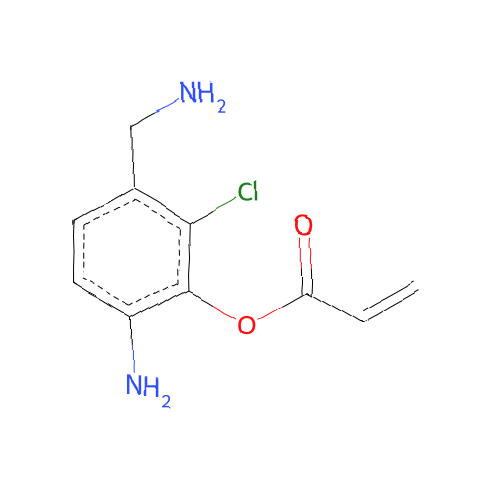 C=CC(=O)Oc1c(N)ccc(CN)c1Cl